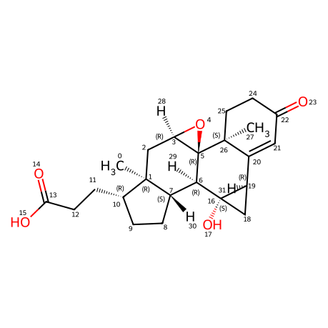 C[C@]12C[C@H]3O[C@@]34[C@H]([C@@H]1CC[C@@H]2CCC(=O)O)[C@]1(O)C[C@@H]1C1=CC(=O)CC[C@@]14C